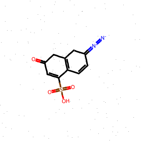 [N-]=[N+]=C1C=CC2=C(CC(=O)C=C2S(=O)(=O)O)C1